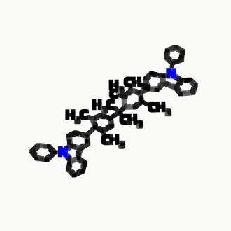 Cc1cc(C(C)(C)c2cc(C)c(-c3ccc4c(c3)c3ccccc3n4-c3ccccc3)c(C)c2C)cc(C)c1-c1ccc2c(c1)c1ccccc1n2-c1ccccc1